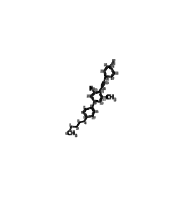 CCCCCc1ccc(-c2cc(C)c(C#Cc3ccc(F)cc3)c(F)c2)cc1